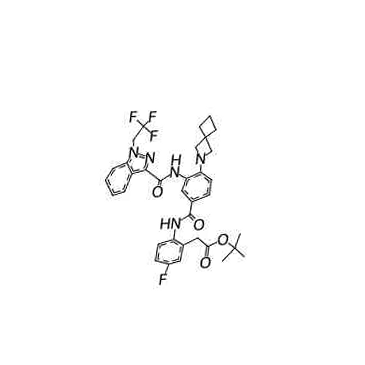 CC(C)(C)OC(=O)Cc1cc(F)ccc1NC(=O)c1ccc(N2CC3(CCC3)C2)c(NC(=O)c2nn(CC(F)(F)F)c3ccccc23)c1